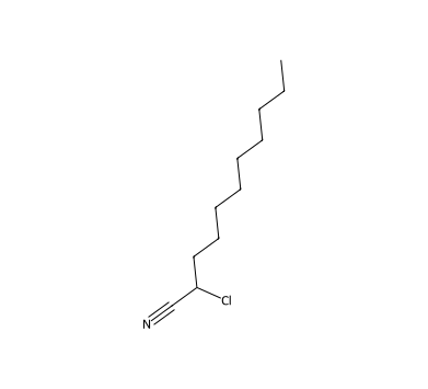 CCCCCCCCCC(Cl)C#N